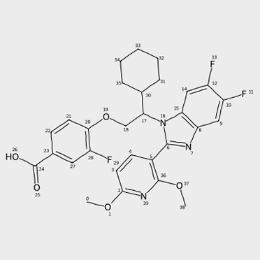 COc1ccc(-c2nc3cc(F)c(F)cc3n2C(COc2ccc(C(=O)O)cc2F)C2CCCCC2)c(OC)n1